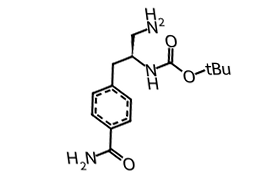 CC(C)(C)OC(=O)N[C@H](CN)Cc1ccc(C(N)=O)cc1